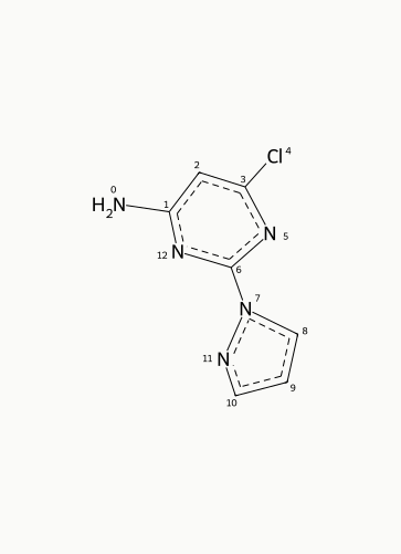 Nc1cc(Cl)nc(-n2cccn2)n1